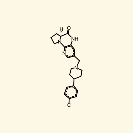 O=C1Nc2cc(CN3CCC(c4ccc(Cl)cc4)CC3)cnc2N2CCC[C@@H]12